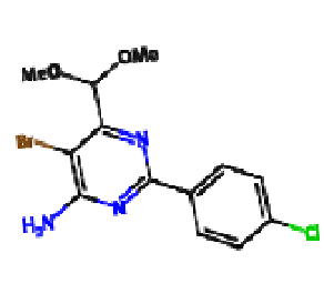 COC(OC)c1nc(-c2ccc(Cl)cc2)nc(N)c1Br